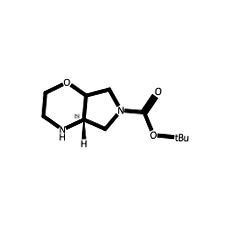 CC(C)(C)OC(=O)N1CC2OCCN[C@H]2C1